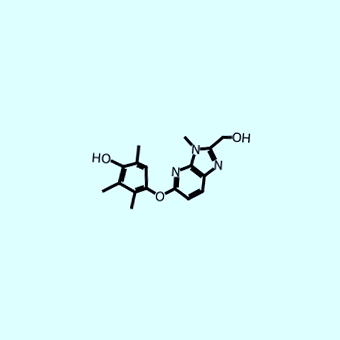 Cc1cc(Oc2ccc3nc(CO)n(C)c3n2)c(C)c(C)c1O